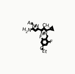 CCOc1cc(F)c(Cn2nc(-c3cc(N)n(C(C)=O)n3)c(C)c2C2CC2)c(F)c1